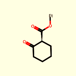 CCOC(=O)[C@H]1CCCCC1=O